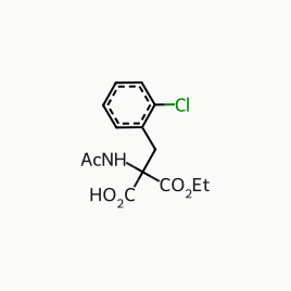 CCOC(=O)C(Cc1ccccc1Cl)(NC(C)=O)C(=O)O